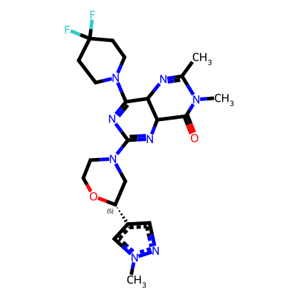 CC1=NC2C(N3CCC(F)(F)CC3)=NC(N3CCO[C@@H](c4cnn(C)c4)C3)=NC2C(=O)N1C